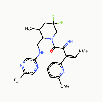 CN/C=C(\C(=N)C(=O)N1CC(F)(F)CC(C)C1CNc1cnc(C(F)(F)F)cn1)c1cccc(OC)n1